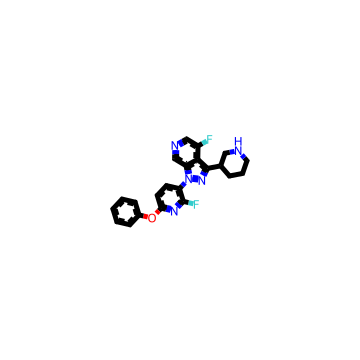 Fc1nc(Oc2ccccc2)ccc1-n1nc(C2CCCNC2)c2c(F)cncc21